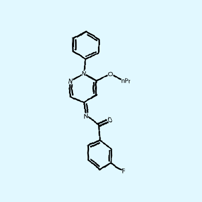 CCCOc1c/c(=N\C(=O)c2cccc(F)c2)cnn1-c1ccccc1